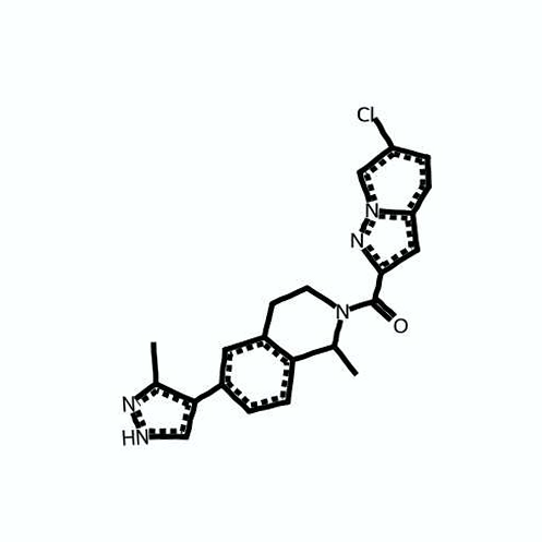 Cc1n[nH]cc1-c1ccc2c(c1)CCN(C(=O)c1cc3ccc(Cl)cn3n1)C2C